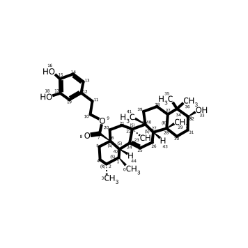 C[C@H]1[C@H](C)CC[C@]2(C(=O)OCCc3ccc(O)c(O)c3)CC[C@]3(C)C(=CC[C@H]4[C@@]5(C)CC[C@H](O)C(C)(C)C5CC[C@]43C)[C@H]12